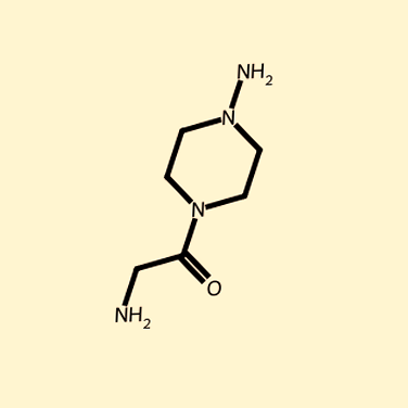 NCC(=O)N1CCN(N)CC1